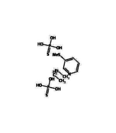 CC.CCC.CSc1cccnc1.OP(O)(O)=S.OP(O)(O)=S